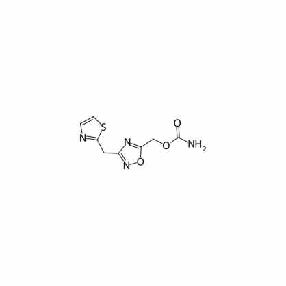 NC(=O)OCc1nc(Cc2nccs2)no1